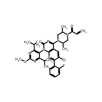 C=CC(=O)N1CC(C)N(c2nc(=O)n(-c3c(C(C)C)nc(OC)nc3C(C)C)c3nc(-c4ccccc4F)c(Cl)cc23)CC1C